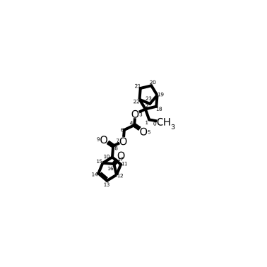 CCC1(OC(=O)COC(=O)C2CC3C=CC2C3=O)CC2CCC1C2